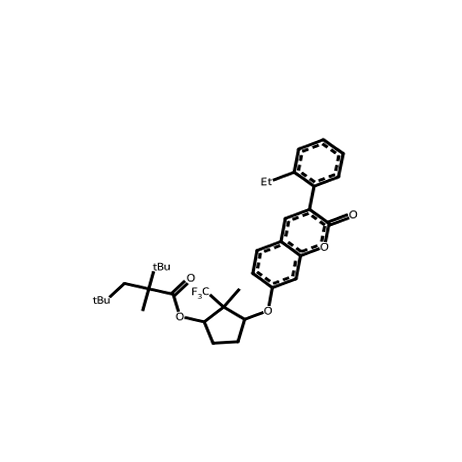 CCc1ccccc1-c1cc2ccc(OC3CCC(OC(=O)C(C)(CC(C)(C)C)C(C)(C)C)C3(C)C(F)(F)F)cc2oc1=O